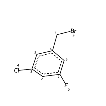 Fc1cc(Cl)cc(CBr)c1